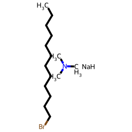 CCCCCCCCCCCCBr.CN(C)C.[NaH]